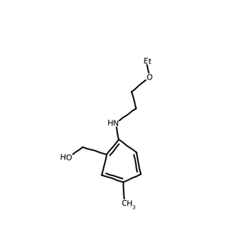 CCOCCNc1ccc(C)cc1CO